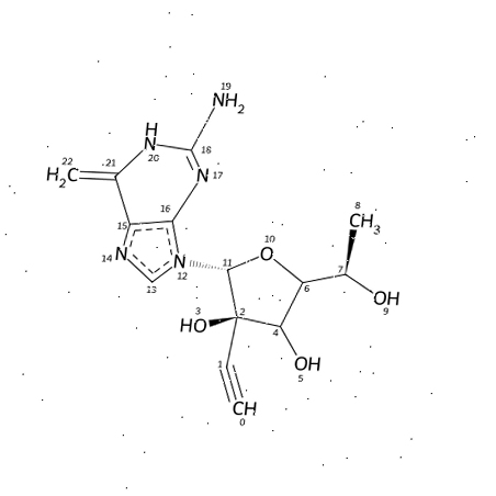 C#C[C@@]1(O)C(O)C([C@@H](C)O)O[C@H]1n1cnc2c1N=C(N)NC2=C